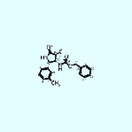 Cc1cccc([C@@H]2NC(=O)[C@@H](C)[C@@H]2NC(=O)OCc2ccccc2)c1